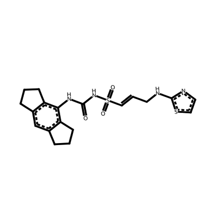 O=C(Nc1c2c(cc3c1CCC3)CCC2)NS(=O)(=O)/C=C/CNc1nccs1